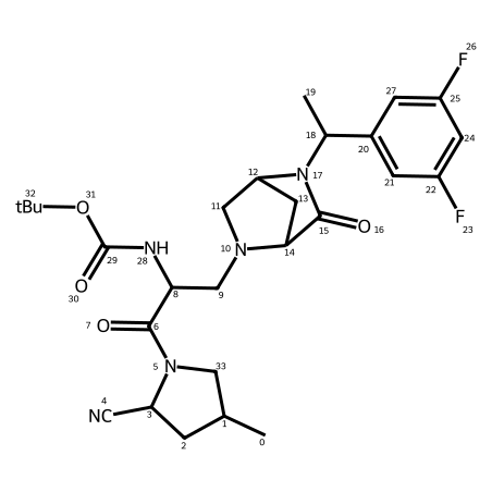 CC1CC(C#N)N(C(=O)C(CN2CC3CC2C(=O)N3C(C)c2cc(F)cc(F)c2)NC(=O)OC(C)(C)C)C1